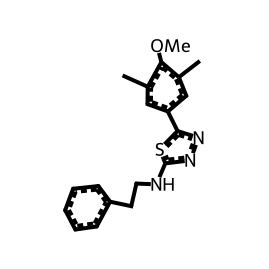 COc1c(C)cc(-c2nnc(NCCc3ccccc3)s2)cc1C